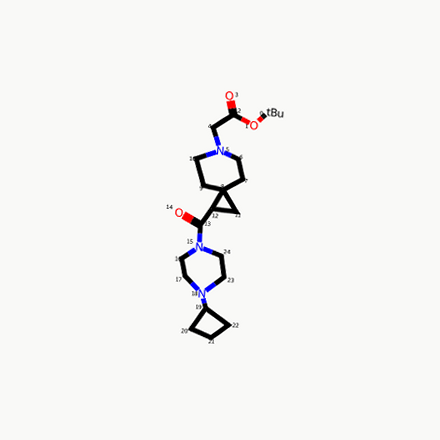 CC(C)(C)OC(=O)CN1CCC2(CC1)CC2C(=O)N1CCN(C2CCC2)CC1